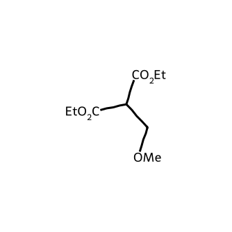 CCOC(=O)C(COC)C(=O)OCC